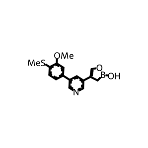 COc1cc(-c2cncc(C3=COB(O)C3)c2)ccc1SC